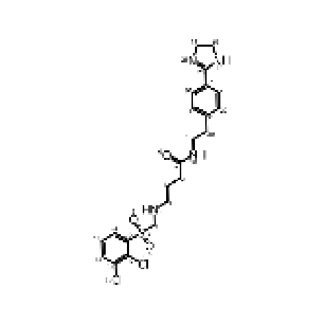 O=C(CCCNCS(=O)(=O)c1cccc(Cl)c1Cl)NCCc1ccc(C2=NCCN2)cc1